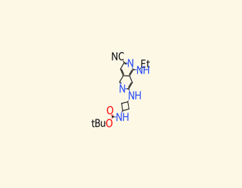 CCNc1nc(C#N)cc2cnc(N[C@H]3C[C@H](NC(=O)OC(C)(C)C)C3)cc12